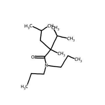 CCCN(CCC)C(=O)C(C)(CC(C)C)C(C)C